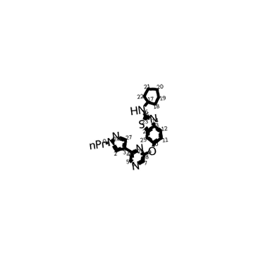 CCCn1cc(-c2cncc(Oc3ccc4nc(NC5CCCCC5)sc4c3)n2)cn1